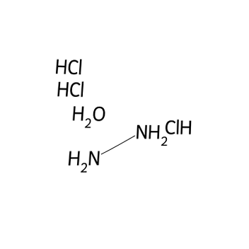 Cl.Cl.Cl.NN.O